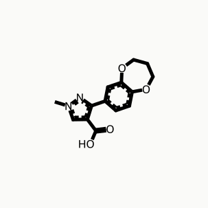 Cn1cc(C(=O)O)c(-c2ccc3c(c2)OCCCO3)n1